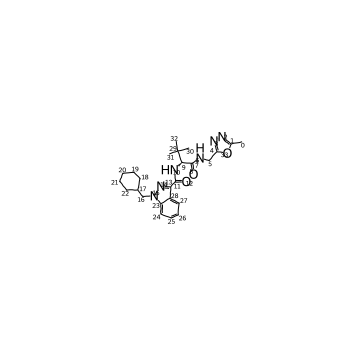 Cc1nnc(CNC(=O)[C@@H](NC(=O)c2nn(CC3CCCCC3)c3ccccc23)C(C)(C)C)o1